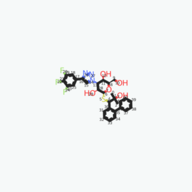 CC(C)(O)C(S[C@@H]1O[C@H](CO)[C@H](O)[C@H](n2cc(-c3cc(F)c(F)c(F)c3)nn2)[C@H]1O)c1ccccc1-c1ccccc1